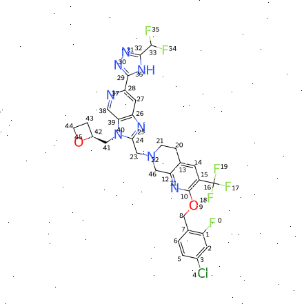 Fc1cc(Cl)ccc1COc1nc2c(cc1C(F)(F)F)CCN(Cc1nc3cc(-c4nnc(C(F)F)[nH]4)ncc3n1C[C@@H]1CCO1)C2